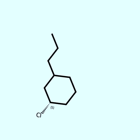 CCCC1CCC[C@H](Cl)C1